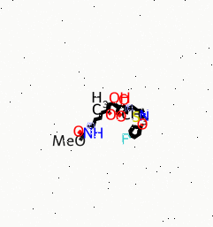 COC(=O)N/C=C/CCC(C)c1cc(O)c(C(=O)/C(C)=C/c2cnc(Oc3ccc(F)cc3)s2)c(=O)o1